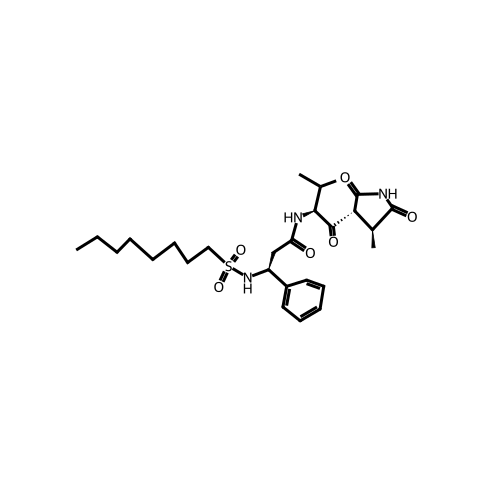 CCCCCCCCS(=O)(=O)N[C@@H](CC(=O)N[C@H](C(=O)[C@@H]1C(=O)NC(=O)[C@H]1C)C(C)C)c1ccccc1